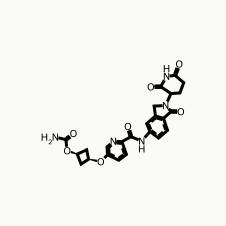 NC(=O)O[C@H]1C[C@@H](Oc2ccc(C(=O)Nc3ccc4c(c3)CN(C3CCC(=O)NC3=O)C4=O)nc2)C1